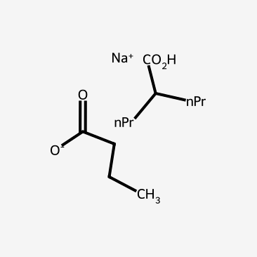 CCCC(=O)[O-].CCCC(CCC)C(=O)O.[Na+]